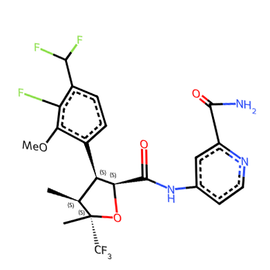 COc1c([C@H]2[C@@H](C(=O)Nc3ccnc(C(N)=O)c3)O[C@](C)(C(F)(F)F)[C@H]2C)ccc(C(F)F)c1F